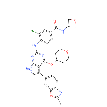 Cc1nc2ccc(-c3c[nH]c4nc(Nc5ccc(C(=O)NC6COC6)cc5Cl)nc(OC5CCOCC5)c34)cc2o1